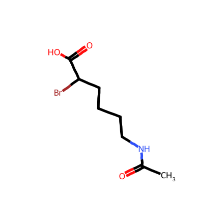 CC(=O)NCCCCC(Br)C(=O)O